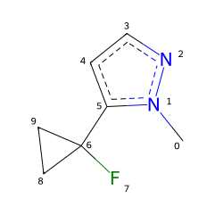 Cn1nccc1C1(F)CC1